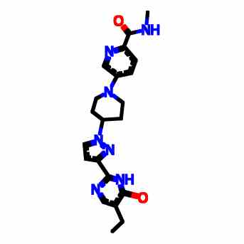 CCc1cnc(-c2ccn(C3CCN(c4ccc(C(=O)NC)nc4)CC3)n2)[nH]c1=O